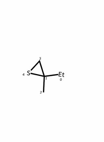 CCC1(C)CS1